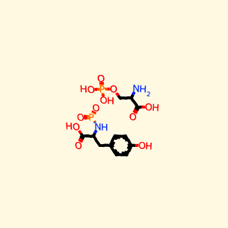 NC(COP(=O)(O)O)C(=O)O.O=C(O)C(Cc1ccc(O)cc1)NP(=O)=O